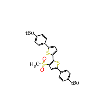 CC(C)(C)c1ccc(-c2ccc(-c3sc(-c4ccc(C(C)(C)C)cc4)cc3S(C)(=O)=O)s2)cc1